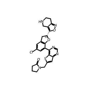 O=C1CCCN1Cc1cc2ncnc(-c3cc(Cl)cc4c3O[C@@H](c3onc5c3CNCC5)C4)c2s1